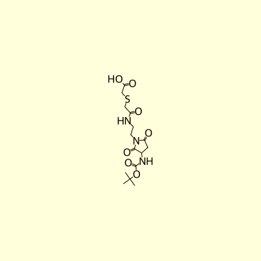 CC(C)(C)OC(=O)NC1CC(=O)N(CCNC(=O)CSCC(=O)O)C1=O